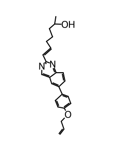 C=CCOc1ccc(-c2ccc3nc(C=CCCCC(C)O)ncc3c2)cc1